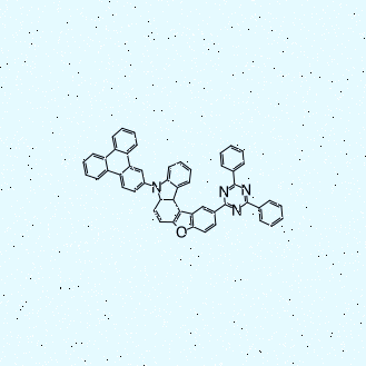 C1=CC2C(c3ccccc3N2c2ccc3c4ccccc4c4ccccc4c3c2)c2c1oc1ccc(-c3nc(-c4ccccc4)nc(-c4ccccc4)n3)cc21